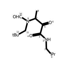 CC(C)CNC(=O)C(=O)C(C)N(C=O)CC(C)(C)C